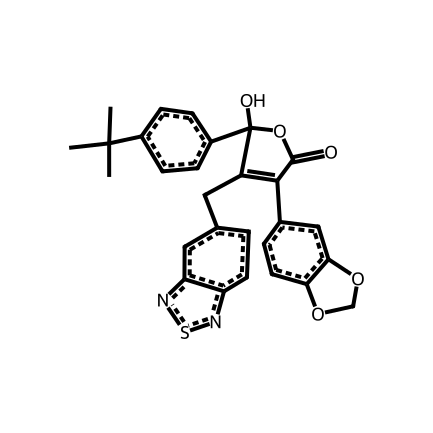 CC(C)(C)c1ccc(C2(O)OC(=O)C(c3ccc4c(c3)OCO4)=C2Cc2ccc3nsnc3c2)cc1